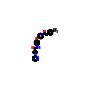 O=C(Nc1ccc(OC2CCN(C(=O)Cc3ccc(C(F)(F)F)cc3)CC2)cc1)C1CN(c2cccnn2)C1